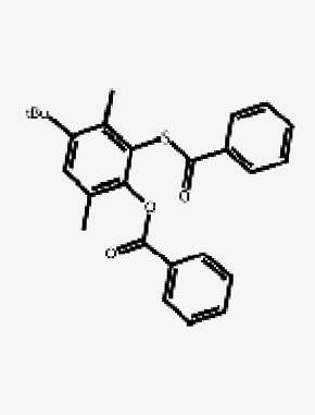 Cc1cc(C(C)(C)C)c(C)c(SC(=O)c2ccccc2)c1OC(=O)c1ccccc1